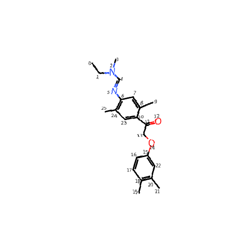 CCN(C)C=Nc1cc(C)c(C(=O)COc2ccc(C)c(C)c2)cc1C